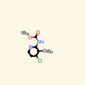 CC(C)COc1c(Cl)ccnc1NC(=O)OC(C)(C)C